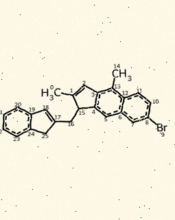 CC1=Cc2c(cc3cc(Br)ccc3c2C)C1CC1=Cc2ccccc2C1